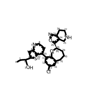 CCC(O)c1cc2nccc(-c3cc(Cl)cc4c3O[C@@H](c3onc5c3CNCC5)CCC4)c2s1